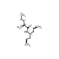 C=CCN(CC=C)NC(=O)C(=C)CCC